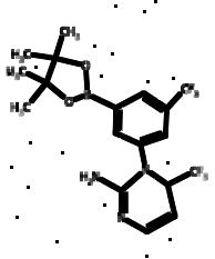 CC1(C)OB(c2cc(N3C(N)=NC=CC3C(F)(F)F)cc(C(F)(F)F)c2)OC1(C)C